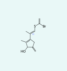 C=C(Br)S/C=C(\C)C1=C(C)C(O)C(=C)C1